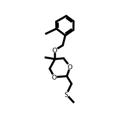 CSCC1OCC(C)(OCc2ccccc2C)CO1